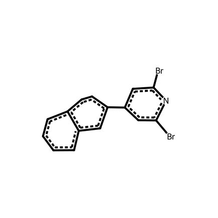 Brc1cc(-c2ccc3ccccc3c2)cc(Br)n1